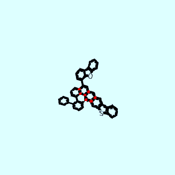 c1ccc(-c2ccccc2-c2c(-c3ccccc3)cccc2N(c2ccc(-c3cccc4c3oc3ccccc34)cc2)c2ccc3c(c2)sc2ccccc23)cc1